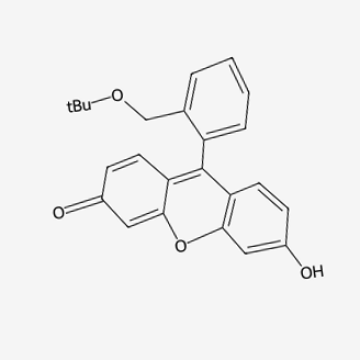 CC(C)(C)OCc1ccccc1-c1c2ccc(=O)cc-2oc2cc(O)ccc12